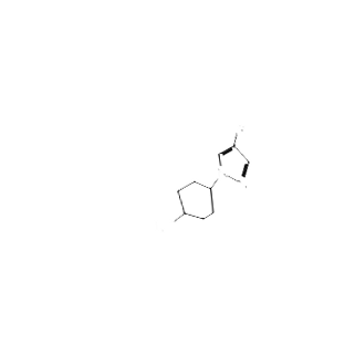 CC1[CH]CC(n2cc(Br)cn2)CC1